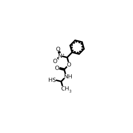 CC(S)NC(=O)OC(c1ccccc1)[N+](=O)[O-]